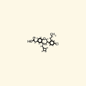 CCCc1cc(Cl)ccc1C1COc2ccc(CC(=O)O)cc2N(CC2CCC2)C1